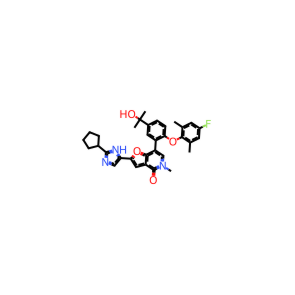 Cc1cc(F)cc(C)c1Oc1ccc(C(C)(C)O)cc1-c1cn(C)c(=O)c2cc(-c3cnc(C4CCCC4)[nH]3)oc12